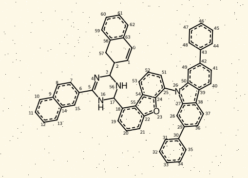 C1=CC(C2N=C(c3ccc4ccccc4c3)NC(c3cccc4oc5c(-n6c7cc(-c8ccccc8)ccc7c7ccc(-c8ccccc8)cc76)cccc5c34)N2)Cc2ccccc21